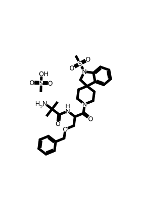 CC(C)(N)C(=O)NC(COCc1ccccc1)C(=O)N1CCC2(CC1)CN(S(C)(=O)=O)c1ccccc12.CS(=O)(=O)O